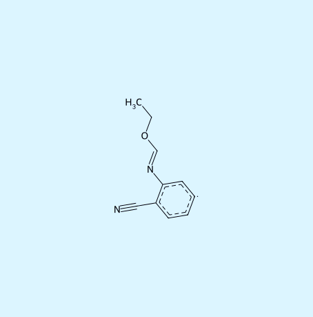 CCOC=Nc1c[c]ccc1C#N